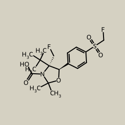 CC1(C)O[C@H](c2ccc(S(=O)(=O)CF)cc2)[C@](CF)(C(C)(C)C)N1C(=O)O